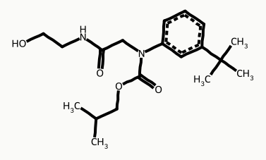 CC(C)COC(=O)N(CC(=O)NCCO)c1cccc(C(C)(C)C)c1